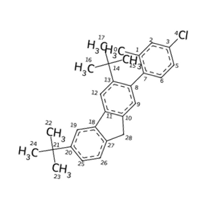 Cc1cc(Cl)ccc1-c1cc2c(cc1C(C)(C)C)-c1cc(C(C)(C)C)ccc1C2